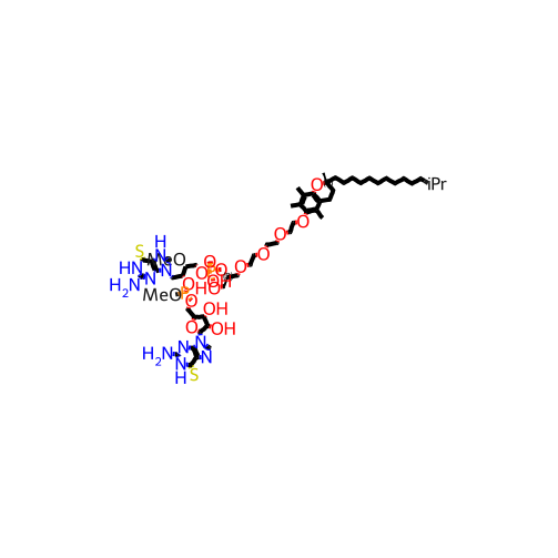 COC(COP(=O)(O)O[C@H](CO)COCCOCCOCCOc1c(C)c(C)c2c(c1C)CC[C@@](C)(CCCCCCCCCCCC(C)C)O2)C(CN1CNc2c1nc(N)[nH]c2=S)OP(OC)OCC1OC(n2cnc3c(=S)[nH]c(N)nc32)C(O)C1O